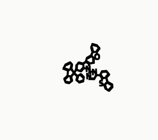 c1ccc(C2(c3ccc4c5cc6c(cc5n(-c5nccc(-c7cccc8c7sc7ccccc78)n5)c4c3)oc3ccccc36)c3ccccc3-c3ccccc32)cc1